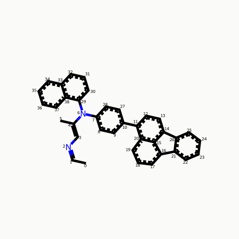 C/C=N\C=C(/C)N(c1ccc(-c2ccc3c4c(cccc24)-c2ccccc2-3)cc1)c1cccc2ccccc12